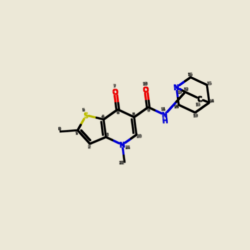 Cc1cc2c(s1)c(=O)c(C(=O)NC1CC3CCN1CC3)cn2C